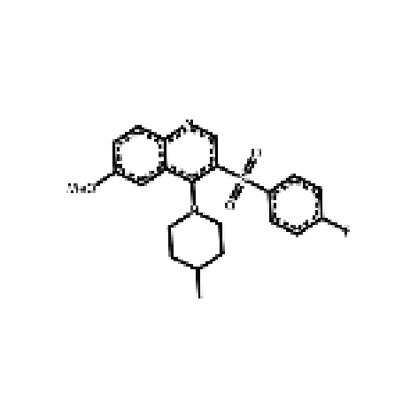 COc1ccc2ncc(S(=O)(=O)c3ccc(F)cc3)c(N3CCC(C)CC3)c2c1